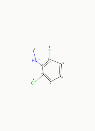 CNc1c(F)cccc1Cl